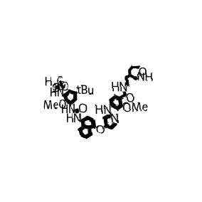 COc1cc(Nc2cc(Oc3ccc(NC(=O)Nc4cc(C(C)(C)C)cc(NS(C)(=O)=O)c4OC)c4ccccc34)ccn2)ccc1C(=O)NCCC1CCCONC1